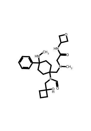 CNC1(c2ccccc2)CCC(CN(C)CC(=O)NC2COC2)(N(C=O)CC2(O)CCC2)CC1